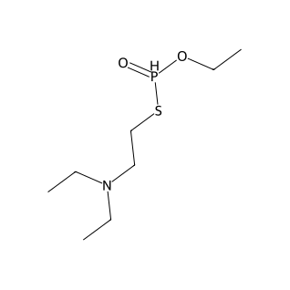 CCO[PH](=O)SCCN(CC)CC